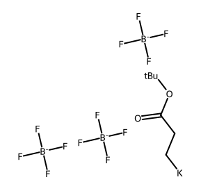 CC(C)(C)OC(=O)C[CH2][K].F[B-](F)(F)F.F[B-](F)(F)F.F[B-](F)(F)F